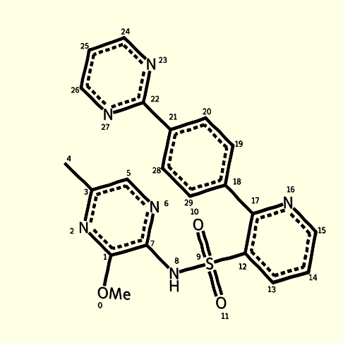 COc1nc(C)cnc1NS(=O)(=O)c1cccnc1-c1ccc(-c2ncccn2)cc1